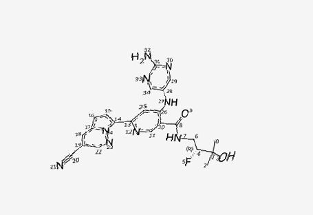 CC(C)(O)[C@H](F)CNC(=O)c1cnc(-c2ccc3cc(C#N)cnn23)cc1Nc1cnc(N)nc1